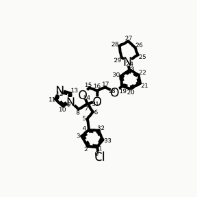 Clc1ccc(CCC2(Cn3ccnc3)OCC(COc3cccc(N4CCCCC4)c3)O2)cc1